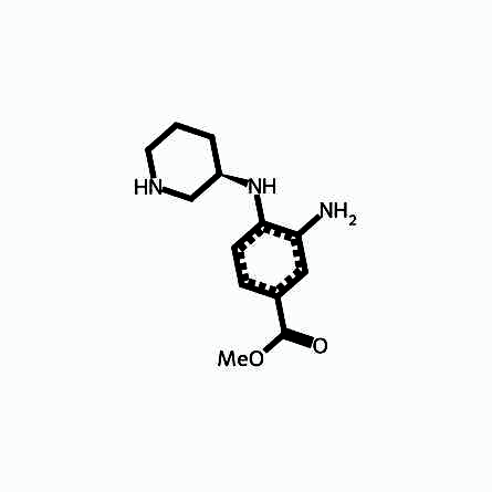 COC(=O)c1ccc(N[C@@H]2CCCNC2)c(N)c1